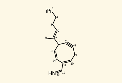 C/C(=C\CCC(C)C)C1C#CC/C=C(C=N)\C=C/1